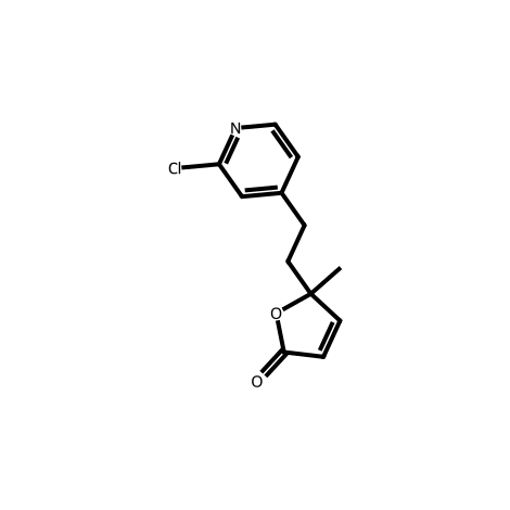 CC1(CCc2ccnc(Cl)c2)C=CC(=O)O1